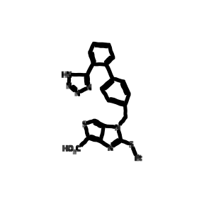 CCSc1nc2c(C(=O)O)scc2n1Cc1ccc(-c2ccccc2-c2nnn[nH]2)cc1